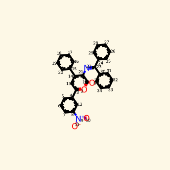 O=c1oc(-c2cccc([N+](=O)[O-])c2)cc(-c2ccccc2)c1N=C(c1ccccc1)c1ccccc1